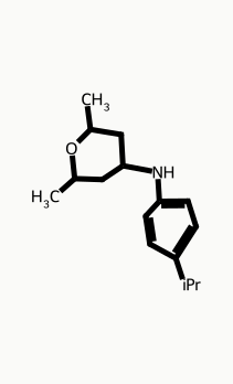 CC1CC(Nc2ccc(C(C)C)cc2)CC(C)O1